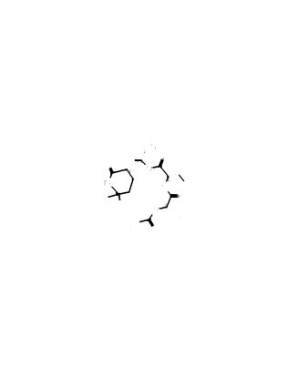 CC(C)(C)C[C@H](NC(=O)[C@@H](NC(=O)C(F)(F)F)C(C)(C)C)C(=O)N[C@H](C#N)C[C@@H]1CCC(C)(C)NC1=O